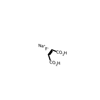 O=C(O)/C=C\C(=O)O.[F-].[Na+]